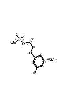 CSc1cc(Br)cc(OC[C@@H](C)O[Si](C)(C)C(C)(C)C)c1